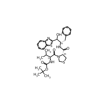 CC(C)[C@H](NC(=O)OC(C)(C)C)C(=O)N1CSC[C@H]1C(=O)N[C@@H](Cc1ccccc1)C(O)c1nc2ccccc2s1